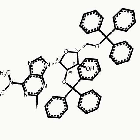 CN(C)c1nc(F)nc2c1ncn2[C@@H]1O[C@H](COC(c2ccccc2)(c2ccccc2)c2ccccc2)[C@@H](O)[C@H]1OC(c1ccccc1)(c1ccccc1)c1ccccc1